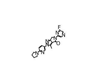 Cc1c2c(nn1-c1ccc(N3CCCC3)nc1)CN(c1cncc(F)n1)C2=O